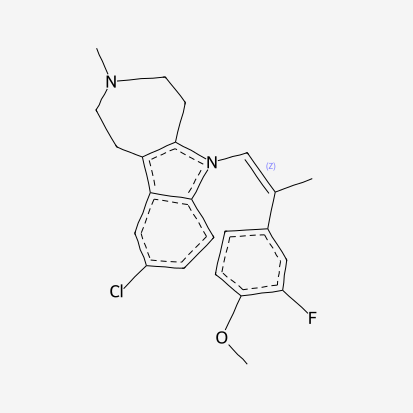 COc1ccc(/C(C)=C\n2c3c(c4cc(Cl)ccc42)CCN(C)CC3)cc1F